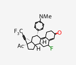 CNc1ccc([C@H]2C[C@@]3(C)[C@@H](CC[C@]3(C#CC(F)(F)F)C(C)=O)[C@@H]3CC(F)C4=CC(=O)CCC4=C32)cc1